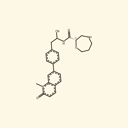 Cn1c(=O)ccc2ccc(-c3ccc(CC(C#N)NC(=O)[C@@H]4CNCCCO4)cc3)cc21